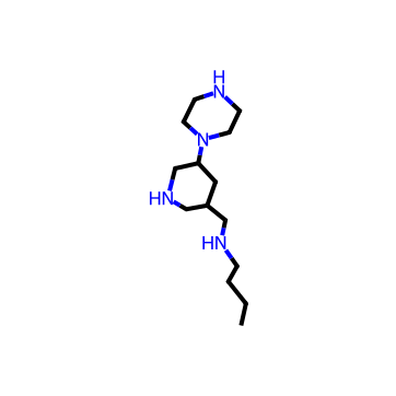 CCCCNCC1CNCC(N2CCNCC2)C1